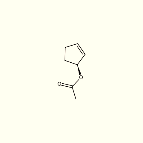 CC(=O)O[C@@H]1C=CCC1